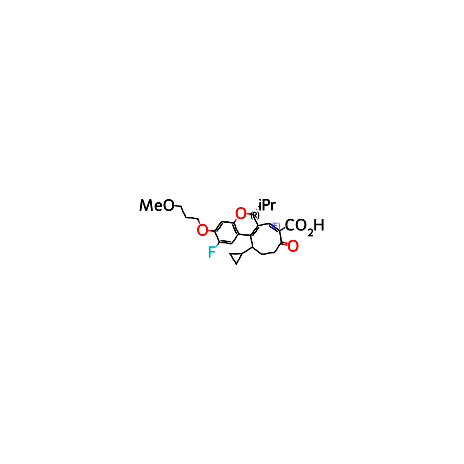 COCCCOc1cc2c(cc1F)C1=C(/C=C(/C(=O)O)C(=O)CCC1C1CC1)[C@@H](C(C)C)O2